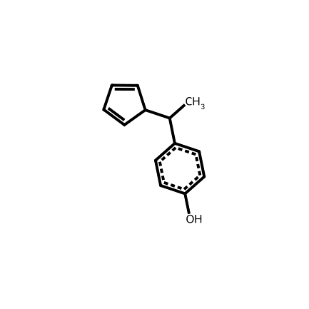 CC(c1ccc(O)cc1)C1C=CC=C1